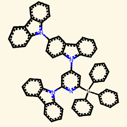 c1ccc([Si](c2ccccc2)(c2ccccc2)c2cc(-n3c4ccccc4c4cc(-n5c6ccccc6c6ccccc65)ccc43)cc(-n3c4ccccc4c4ccccc43)n2)cc1